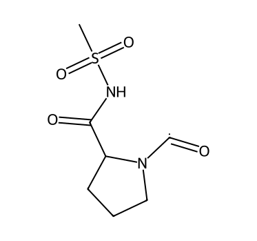 CS(=O)(=O)NC(=O)C1CCCN1[C]=O